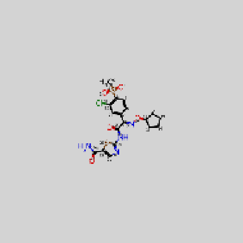 CS(=O)(=O)c1ccc(/C(=N\OC2CCCC2)C(=O)Nc2ncc(C(N)=O)s2)cc1Cl